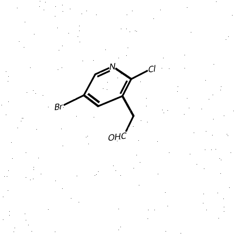 O=CCc1cc(Br)cnc1Cl